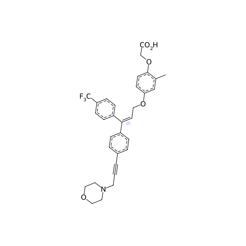 Cc1cc(OC/C=C(/c2ccc(C#CCN3CCOCC3)cc2)c2ccc(C(F)(F)F)cc2)ccc1OCC(=O)O